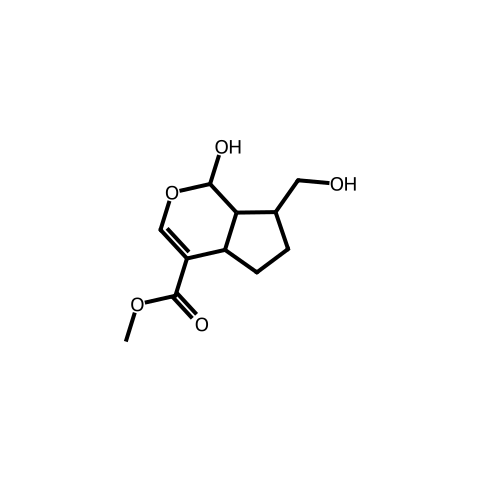 COC(=O)C1=COC(O)C2C(CO)CCC12